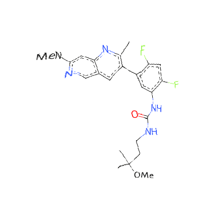 CNc1cc2nc(C)c(-c3cc(NC(=O)NCCC(C)(C)OC)c(F)cc3F)cc2cn1